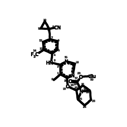 Cc1c(Nc2ccc(C3(C#N)CC3)cc2C(F)(F)F)ncnc1OC1CC2CCC1N2C(=O)OC(C)(C)C